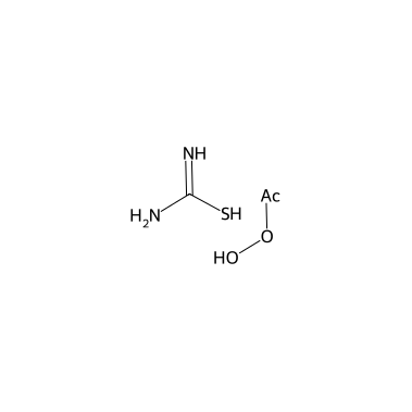 CC(=O)OO.N=C(N)S